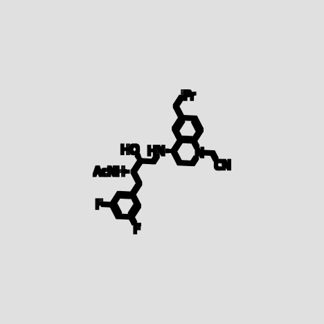 CC(=O)N[C@@H](Cc1cc(F)cc(F)c1)[C@@H](O)CN[C@H]1CCN(CC#N)c2ccc(CC(C)C)cc21